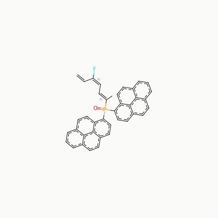 C=C/C(F)=C\C=C(/C)P(=O)(c1ccc2ccc3cccc4ccc1c2c34)c1ccc2ccc3cccc4ccc1c2c34